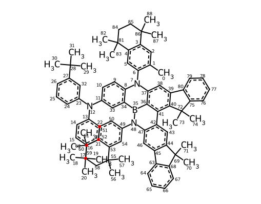 Cc1cc2c(cc1N1c3ccc(N(c4ccc(C(C)(C)C)cc4)c4cccc(C(C)(C)C)c4)cc3B3c4c1cc1c(c4-c4cc5c(cc4N3c3ccc4c(c3)C(C)(C)CCC4(C)C)-c3ccccc3C5(C)C)C(C)(C)c3ccccc3-1)C(C)(C)CCC2(C)C